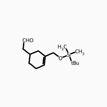 CC(C)(C)[Si](C)(C)OCC1=CCCC(CC=O)C1